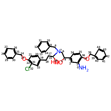 Nc1cc([C@@H](O)CN(Cc2ccccc2)[C@@H](O)CCc2ccc(OCc3ccccc3)c(Cl)c2)ccc1OCc1ccccc1